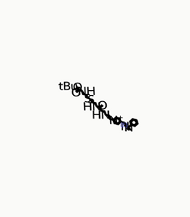 CN(/N=C/c1cc[n+](CCNCCC(=O)NCCSSCCNC(=O)OC(C)(C)C)cc1)c1ccccc1